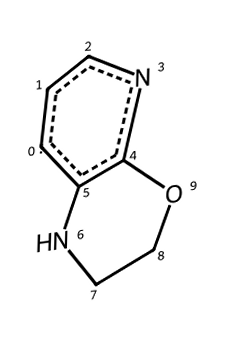 [c]1ccnc2c1NCCO2